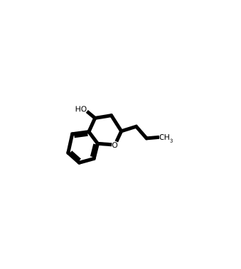 CCCC1CC(O)c2ccccc2O1